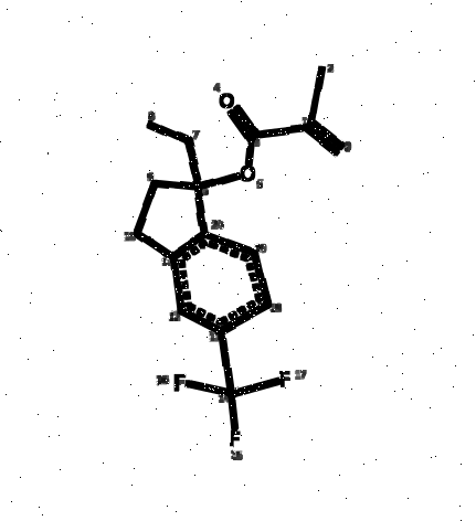 C=C(C)C(=O)OC1(CC)CCc2cc(C(F)(F)F)ccc21